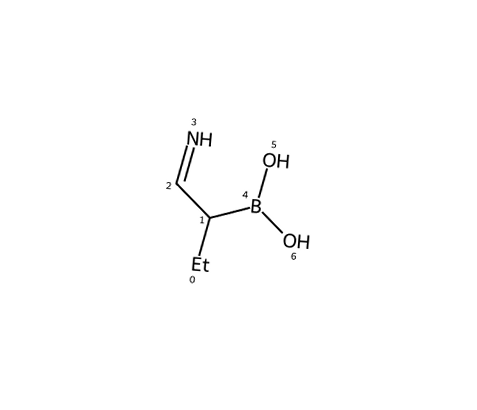 CCC(C=N)B(O)O